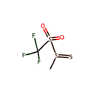 CS(=S)S(=O)(=O)C(F)(F)F